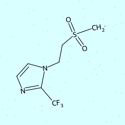 [CH2]S(=O)(=O)CCn1ccnc1C(F)(F)F